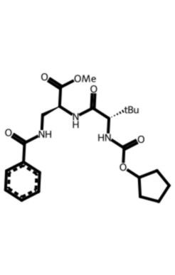 COC(=O)[C@H](CNC(=O)c1ccccc1)NC(=O)[C@@H](NC(=O)OC1CCCC1)C(C)(C)C